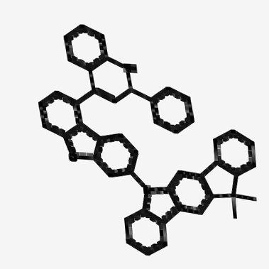 CC1(C)c2ccccc2-c2cc3c(cc21)c1ccccc1n3-c1ccc2c(c1)oc1cccc(C3=CC(c4ccccc4)Nc4ccccc43)c12